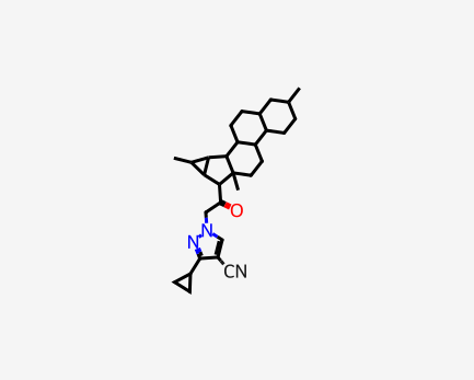 CC1CCC2C(CCC3C2CCC2(C)C(C(=O)Cn4cc(C#N)c(C5CC5)n4)C4C(C)C4C32)C1